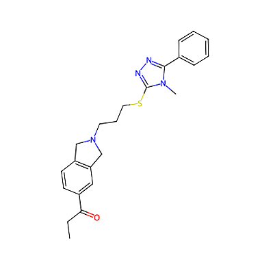 CCC(=O)c1ccc2c(c1)CN(CCCSc1nnc(-c3ccccc3)n1C)C2